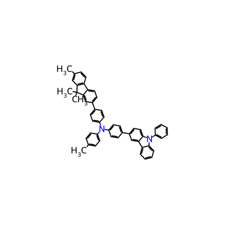 Cc1ccc(N(c2ccc(-c3ccc4c(c3)C(C)(C)c3cc(C)ccc3-4)cc2)c2ccc(-c3ccc4c(c3)c3ccccc3n4-c3ccccc3)cc2)cc1